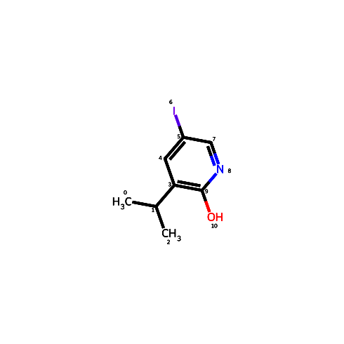 CC(C)c1cc(I)cnc1O